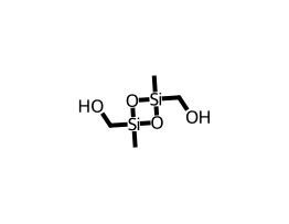 C[Si]1(CO)O[Si](C)(CO)O1